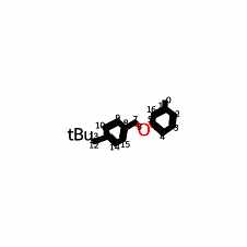 Cc1cccc(OCc2ccc(CC(C)(C)C)cc2)c1